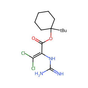 CC(C)(C)C1(OC(=O)C(NC(=N)N)=C(Cl)Cl)CCCCC1